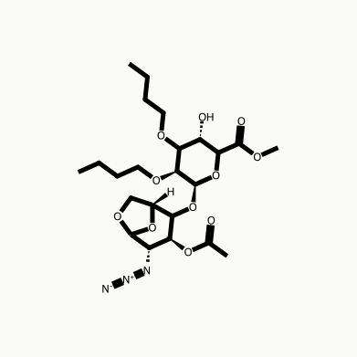 CCCCOC1[C@H](O)C(C(=O)OC)O[C@@H](OC2[C@@H](OC(C)=O)[C@H](N=[N+]=[N-])C3OC[C@H]2O3)[C@H]1OCCCC